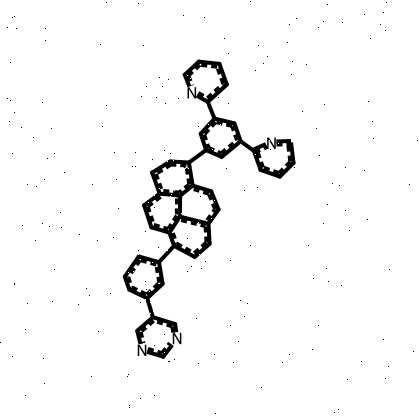 c1ccc(-c2cc(-c3ccccn3)cc(-c3ccc4ccc5c(-c6cccc(-c7cncnc7)c6)ccc6ccc3c4c65)c2)nc1